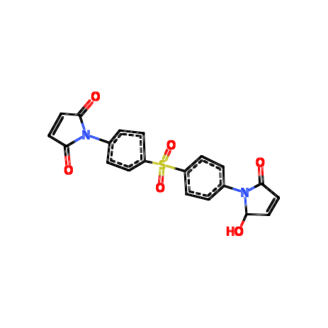 O=C1C=CC(=O)N1c1ccc(S(=O)(=O)c2ccc(N3C(=O)C=CC3O)cc2)cc1